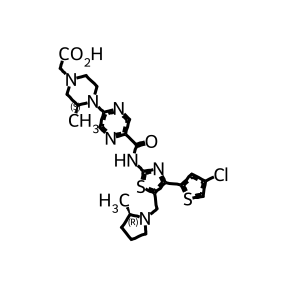 C[C@@H]1CCCN1Cc1sc(NC(=O)c2cnc(N3CCN(CC(=O)O)C[C@@H]3C)cn2)nc1-c1cc(Cl)cs1